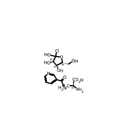 C[C@H](N)C(=O)O.NC(=O)c1cccnc1.OC[C@H]1OC(O)(Cl)[C@H](O)[C@@H]1O